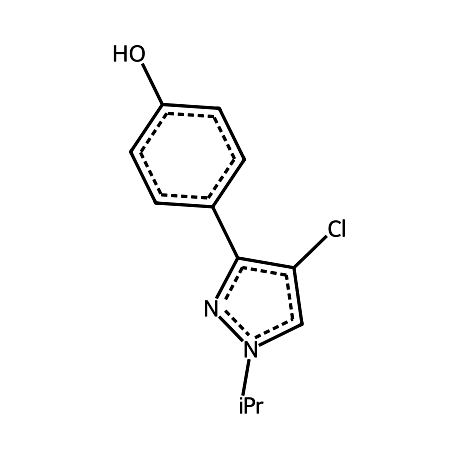 CC(C)n1cc(Cl)c(-c2ccc(O)cc2)n1